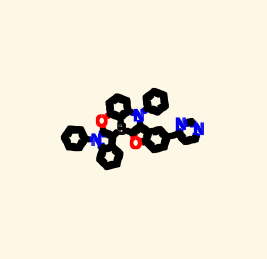 c1ccc(N2c3cccc4c3B(c3oc5ccc(-c6ccncn6)cc5c32)c2c(n(-c3ccccc3)c3ccccc23)O4)cc1